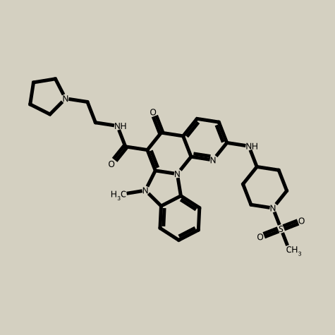 Cn1c2ccccc2n2c3nc(NC4CCN(S(C)(=O)=O)CC4)ccc3c(=O)c(C(=O)NCCN3CCCC3)c12